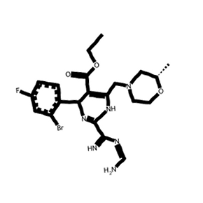 CCOC(=O)C1=C(CN2CCO[C@@H](C)C2)NC(C(=N)/N=C\N)=NC1c1ccc(F)cc1Br